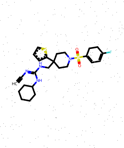 C#C/N=C(/NCC1(c2cccs2)CCN(S(=O)(=O)C2=CC=C(F)CC2)CC1)NC1CCCCC1